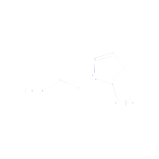 O=Cc1cccn1CCC(=O)O